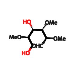 CO[C@@H]([C@@H](O)[C@@H](CO)OC)[C@H](C=O)OC